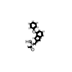 CC(=O)N(O)CC1=Cc2cccc(Oc3ccccc3)c2C1